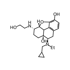 CCN(CC1CC1)[C@@H]1Cc2ccc(O)c3c2C2[C@@H](O3)[C@@H](NCCO)CC[C@]21O